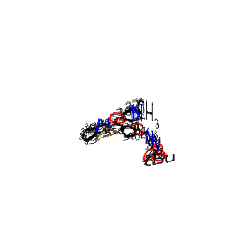 CN1CCC(OC(c2cccc(OCCN3CCN(OC(=O)OC(C)(C)C)CC3)c2)c2nc3ccccc3s2)CC1